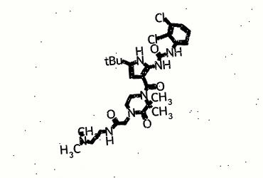 CN(C)CCNC(=O)CN1CCN(C(=O)c2cc(C(C)(C)C)[nH]c2NC(=O)Nc2cccc(Cl)c2Cl)C(C)(C)C1=O